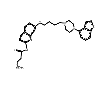 CCCCCCCCCCCCC(=O)Oc1ccc2ccc(OCCCCN3CCN(c4cccc5sccc45)CC3)cc2n1